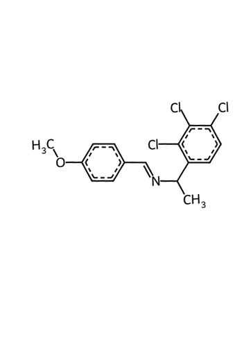 COc1ccc(C=NC(C)c2ccc(Cl)c(Cl)c2Cl)cc1